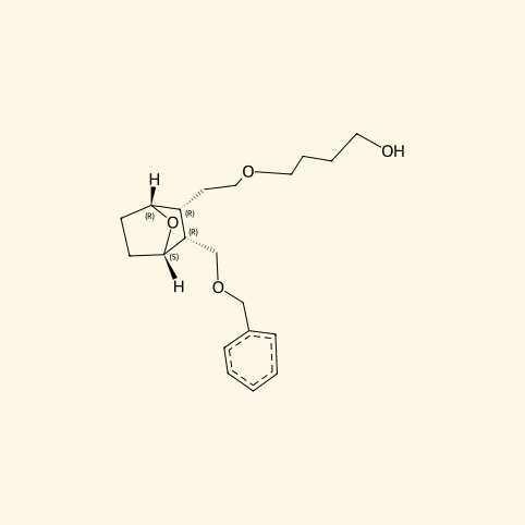 OCCCCOCC[C@@H]1[C@H](COCc2ccccc2)[C@@H]2CC[C@H]1O2